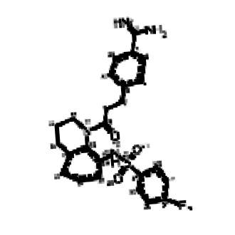 N=C(N)c1ccc(CCC(=O)N2CCCc3cccc(NS(=O)(=O)c4ccc(F)cc4)c32)cc1